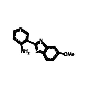 COc1ccc2sc(-c3cnccc3N)nc2c1